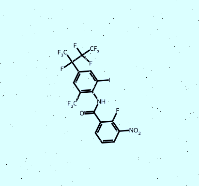 O=C(Nc1c(I)cc(C(F)(C(F)(F)F)C(F)(F)C(F)(F)F)cc1C(F)(F)F)c1cccc([N+](=O)[O-])c1F